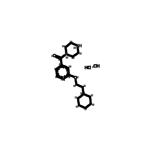 Cl.Cl.O=C(c1ccnc(OCCC2CCCCC2)c1)N1CCNCC1